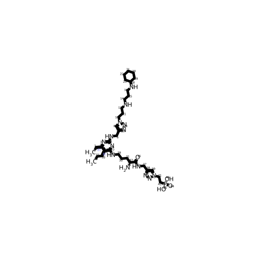 C/C=c1/nc(NCc2cn(CCCNCCCNC3CCCCC3)nn2)nc(NCCC[C@H](N)C(=O)NCc2cn(CCP(=O)(O)O)nn2)/c1=C/CC